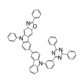 C1=c2c(n(-c3ccccc3)c3ccc(-c4ccc5c(c4)c4ccccc4n5-c4cccc(-c5nc(-c6ccccc6)nc(-c6ccccc6)n5)c4)cc23)=CC2N=C(c3ccccc3)OC12